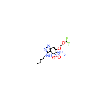 CCCCCNc1ncnc2c1CC(N)([N+](=O)[O-])C(OCCOC(F)F)=C2